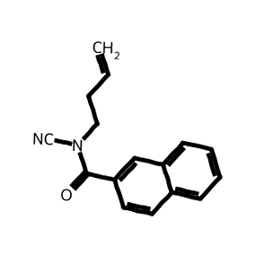 C=CCCN(C#N)C(=O)c1ccc2ccccc2c1